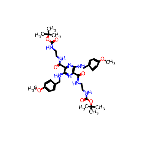 COc1ccc(CNc2nc(C(=O)NCCNC(=O)OC(C)(C)C)c(NCc3ccc(OC)cc3)nc2C(=O)NCCNC(=O)OC(C)(C)C)cc1